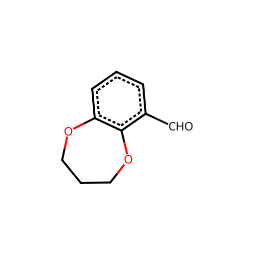 O=Cc1cccc2c1OCCCO2